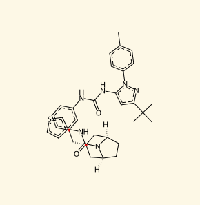 Cc1ccc(-n2nc(C(C)(C)C)cc2NC(=O)Nc2cccc(C[C@@H]3C[C@H]4CC[C@@H](C3)N4C(=O)Nc3ccsc3)c2)cc1